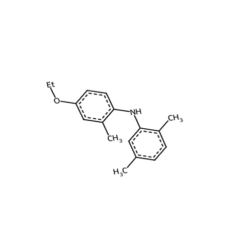 CCOc1ccc(Nc2cc(C)ccc2C)c(C)c1